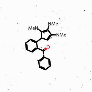 CNC1=CC(c2ccccc2C(=O)c2ccccc2)C(NC)=C1NC